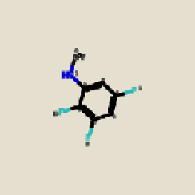 CCCNc1cc(F)cc(F)c1F